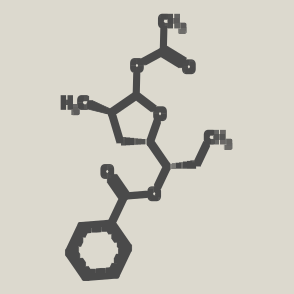 CC[C@H](OC(=O)c1ccccc1)[C@@H]1C[C@@H](C)C(OC(C)=O)O1